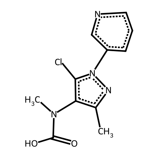 Cc1nn(-c2cccnc2)c(Cl)c1N(C)C(=O)O